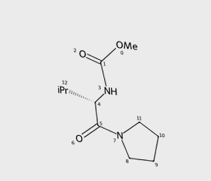 COC(=O)N[C@H](C(=O)N1CCCC1)C(C)C